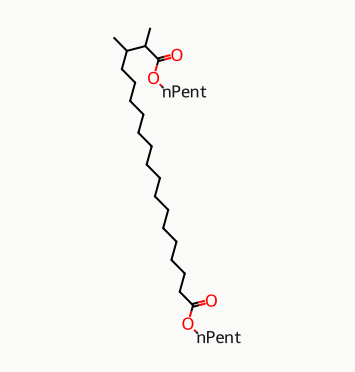 CCCCCOC(=O)CCCCCCCCCCCCCCCC(C)C(C)C(=O)OCCCCC